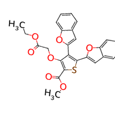 CCOC(=O)COc1c(C(=O)OC)sc(-c2cc3ccccc3o2)c1-c1cc2ccccc2o1